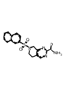 NC(=O)c1n[c]c2c(n1)CN(S(=O)(=O)c1ccc3ccccc3c1)CC2